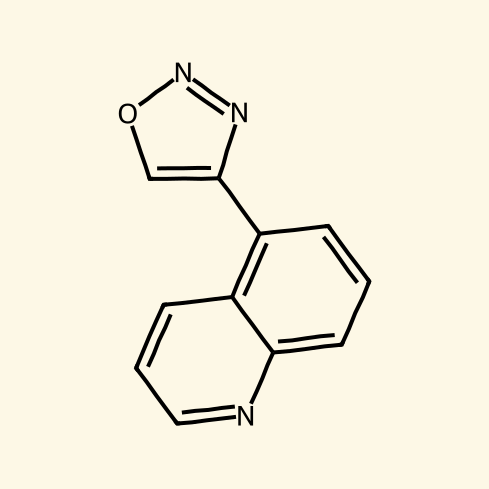 c1cc(-c2conn2)c2cccnc2c1